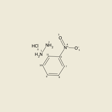 Cl.NN.O=[N+]([O-])c1ccccc1